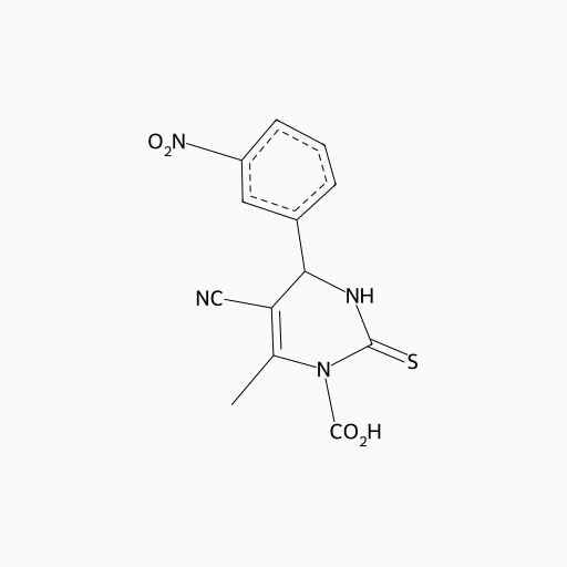 CC1=C(C#N)C(c2cccc([N+](=O)[O-])c2)NC(=S)N1C(=O)O